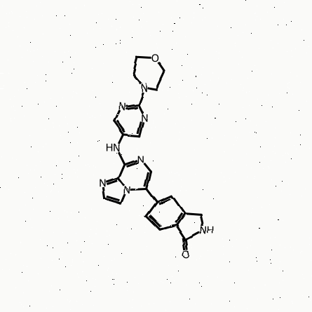 O=C1NCc2cc(-c3cnc(Nc4cnc(N5CCOCC5)nc4)c4nccn34)ccc21